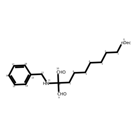 CCCCCCCCCCCCCCCCCC(C=O)(C=O)NCc1ccccc1